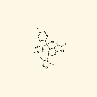 Cc1noc(C)c1-c1cc(C(O)(c2ccc(F)cn2)c2ccc(F)cn2)c2[nH]c(=O)[nH]c2c1